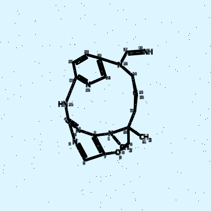 CN1c2nc3ncc2OCC1(C)C1CC(C1)N(C=N)c1ccc(nc1)N3